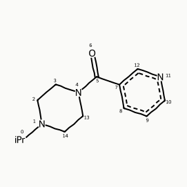 CC(C)N1CCN(C(=O)c2cccnc2)CC1